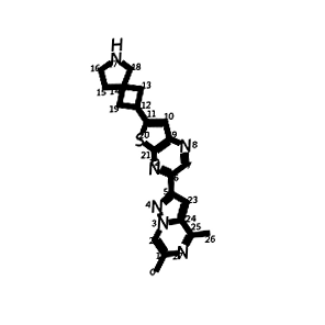 Cc1cn2nc(-c3cnc4cc(C5CC6(CCNC6)C5)sc4n3)cc2c(C)n1